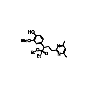 CCOP(=O)(CC)C(CCc1nc(C)cc(C)n1)c1ccc(O)c(OC)c1